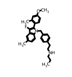 CCCNCCc1ccc(Cn2c(-c3ccc(OC)cc3C)c(F)c3cc(C)ccc32)cc1